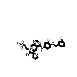 CCC(OCCS(=O)(=O)CC)C1(c2cc3c(Nc4ccc(OCc5cccc(F)c5)c(Br)c4)ncnc3cn2)CC=CO1